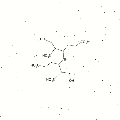 O=C(O)CCC(NC(CCC(=O)O)C(CO)S(=O)(=O)O)C(CO)S(=O)(=O)O